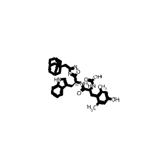 Cc1cc(O)cc(C)c1CC(NC(=O)O)C(=O)N[C@@H](Cc1c[nH]c2ccccc12)c1nc(CC23CC4CC(CC(C4)C2)C3)no1